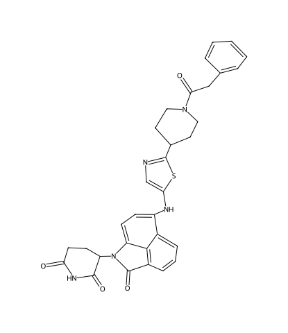 O=C1CCC(N2C(=O)c3cccc4c(Nc5cnc(C6CCN(C(=O)Cc7ccccc7)CC6)s5)ccc2c34)C(=O)N1